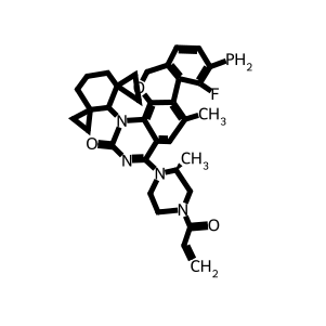 C=CC(=O)N1CCN(c2nc(=O)n(C3C4(CCCC35CC5)CC4)c3c4c(c(C)cc23)-c2c(ccc(P)c2F)CO4)[C@@H](C)C1